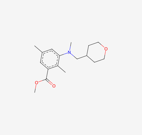 COC(=O)c1cc(C)cc(N(C)CC2CCOCC2)c1C